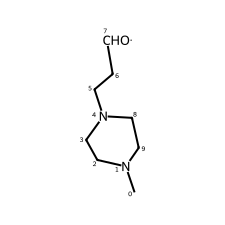 CN1CCN(CC[C]=O)CC1